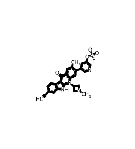 C#Cc1ccc2c(c1)[nH]c1c2c(=O)c2cc(C)c(-c3cncc(OS(=O)(=O)F)c3)cc2n1C1CN(C)C1